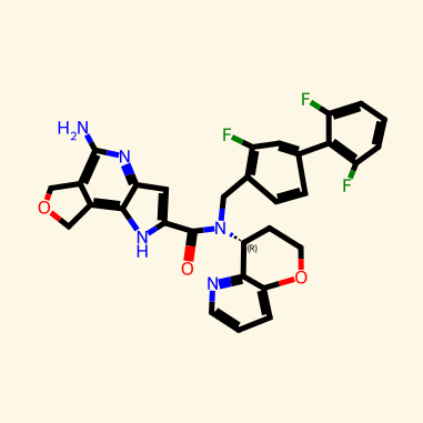 Nc1nc2cc(C(=O)N(Cc3ccc(-c4c(F)cccc4F)cc3F)[C@@H]3CCOc4cccnc43)[nH]c2c2c1COC2